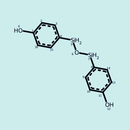 Oc1ccc([SiH2]O[SiH2]c2ccc(O)cc2)cc1